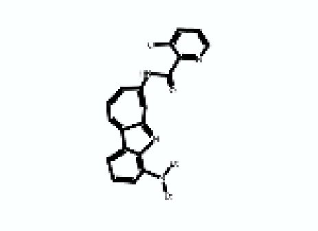 CCN(CC)c1cccc2c3cccc(NC(=O)c4ncccc4Cl)cc-3nc12